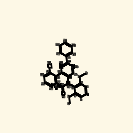 CCc1cccc(CC)c1N(C(N)=O)c1cnc(-c2ccccc2)nc1-c1ccccc1Cl